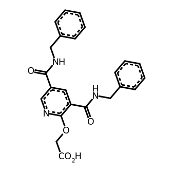 O=C(O)COc1ncc(C(=O)NCc2ccccc2)cc1C(=O)NCc1ccccc1